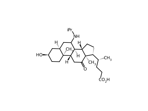 CC(C)NC1C[C@@H]2C[C@H](O)CC[C@]2(C)[C@H]2CC(=O)[C@]3(C)[C@@H]([C@H](C)CCC(=O)O)CC[C@H]3[C@H]12